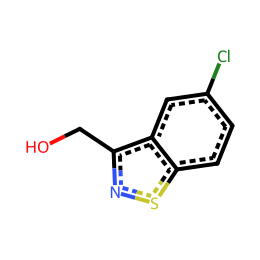 OCc1nsc2ccc(Cl)cc12